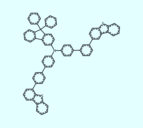 c1ccc(C2(c3ccccc3)c3ccccc3-c3cc(N(c4ccc(-c5ccc(-c6cccc7c6sc6ccccc67)cc5)cc4)c4ccc(-c5cccc(-c6ccc7sc8ccccc8c7c6)c5)cc4)ccc32)cc1